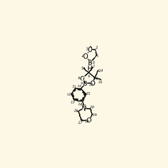 B1CCOO1.CC1(C)OB(c2cccc(N3CCOCC3)c2)OC1(C)C